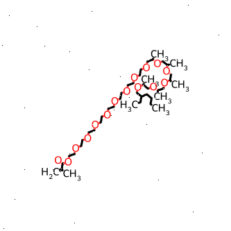 C=C(C)C(=O)OCCOCCOCCOCCOCCOCCOCCOCCOCC(C)OCC(C)OCC(C)OCC(C)OCC(C)OCC(CC)CCCC